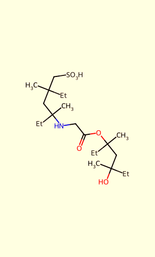 CCC(C)(O)CC(C)(CC)OC(=O)CNC(C)(CC)CC(C)(CC)CS(=O)(=O)O